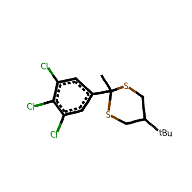 CC1(c2cc(Cl)c(Cl)c(Cl)c2)SCC(C(C)(C)C)CS1